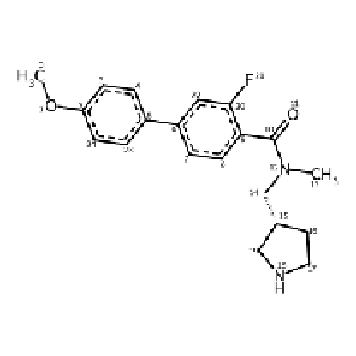 COc1ccc(-c2ccc(C(=O)N(C)C[C@@H]3CCNC3)c(F)c2)cc1